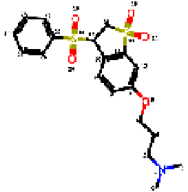 CN(C)CCCOc1ccc2c(c1)S(=O)(=O)CC2S(=O)(=O)c1ccccc1